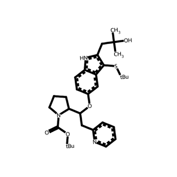 CC(C)(O)Cc1[nH]c2ccc(OC(Cc3ccccn3)C3CCCN3C(=O)OC(C)(C)C)cc2c1SC(C)(C)C